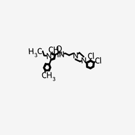 CCCn1c(-c2ccc(C)cc2)cc(C(=O)NCCCN2CCN(c3cccc(Cl)c3Cl)CC2)c1C